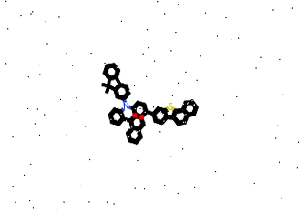 CC1(C)c2ccccc2-c2ccc(N(c3ccc(-c4ccc5c(c4)sc4c6ccccc6ccc54)cc3)c3ccccc3-c3cccc4ccccc34)cc21